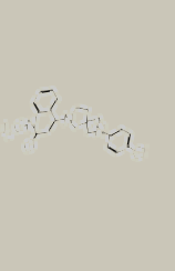 Cn1c(=O)cc(N2CCC3(CN(c4ccc(Cl)cc4)C3)C2)c2ccccc21